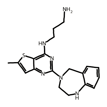 Cc1cc2nc(N3CCNc4ccccc4C3)nc(NCCCN)c2s1